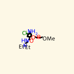 CCN(CC)CCNC(=O)c1cc(Cl)c(N)cc1OCCOCCOC